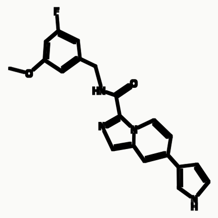 COc1cc(F)cc(CNC(=O)c2ncc3cc(-c4cc[nH]c4)ccn23)c1